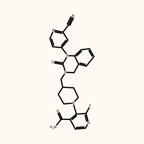 N#Cc1cc(N2C(=O)N(CC3CCN(c4c(C(N)=O)ccnc4F)CC3)Cc3ccccc32)ccn1